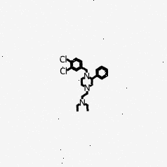 CCN(CC)CCN1CCN(Cc2ccc(Cl)c(Cl)c2)C(c2ccccc2)C1